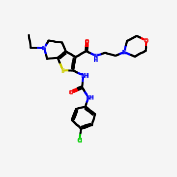 CCN1CCc2c(sc(NC(=O)Nc3ccc(Cl)cc3)c2C(=O)NCCN2CCOCC2)C1